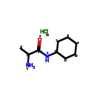 CC(N)C(=O)NC1CCCCC1.Cl